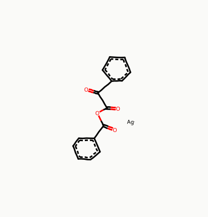 O=C(OC(=O)c1ccccc1)C(=O)c1ccccc1.[Ag]